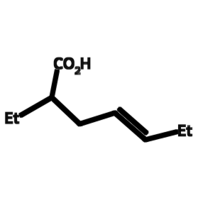 CCC=CCC(CC)C(=O)O